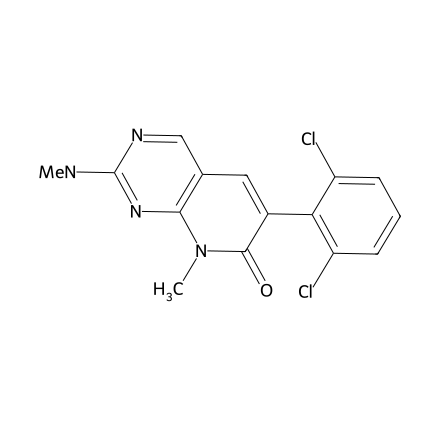 CNc1ncc2cc(-c3c(Cl)cccc3Cl)c(=O)n(C)c2n1